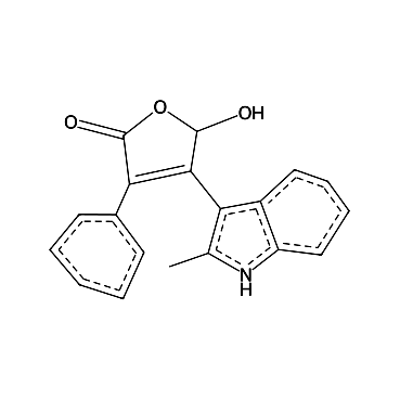 Cc1[nH]c2ccccc2c1C1=C(c2ccccc2)C(=O)OC1O